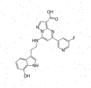 O=C(O)c1cnn2c(NCCc3c[nH]c4c(O)cccc34)cc(-c3cncc(F)c3)nc12